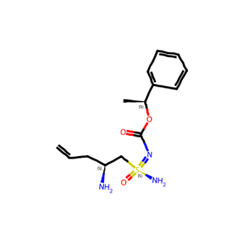 C=CC[C@H](N)C[S@@](N)(=O)=NC(=O)O[C@@H](C)c1ccccc1